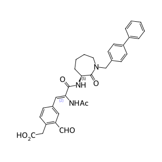 CC(=O)N/C(=C\c1ccc(CC(=O)O)c(C=O)c1)C(=O)N[C@H]1CCCCN(Cc2ccc(-c3ccccc3)cc2)C1=O